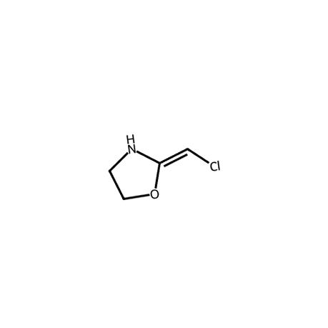 ClC=C1NCCO1